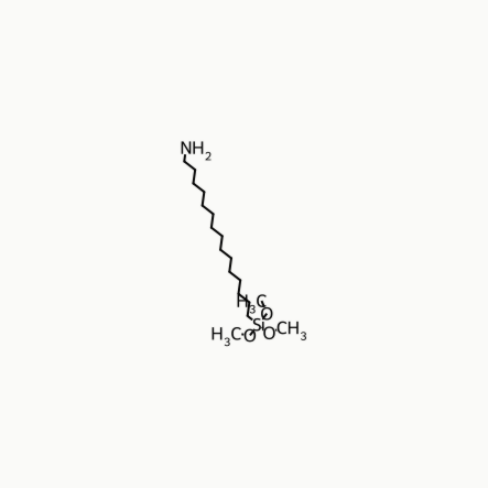 CO[Si](CCCCCCCCCCCCCCCN)(OC)OC